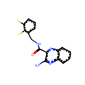 Nc1nc2ccccc2nc1C(=O)NCc1cccc(F)c1F